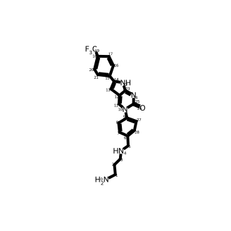 NCCCNCc1ccc(-n2cc3cc(-c4ccc(C(F)(F)F)cc4)[nH]c3nc2=O)cc1